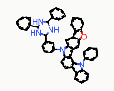 c1ccc(C2NC(c3ccccc3)NC(c3cccc(-n4c5cc6c(cc5c5c4ccc4c7ccccc7n(-c7ccccc7)c45)oc4ccccc46)c3)N2)cc1